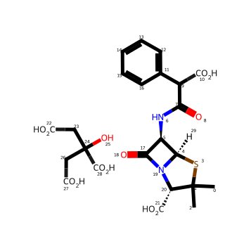 CC1(C)S[C@@H]2[C@H](NC(=O)C(C(=O)O)c3ccccc3)C(=O)N2[C@H]1C(=O)O.O=C(O)CC(O)(CC(=O)O)C(=O)O